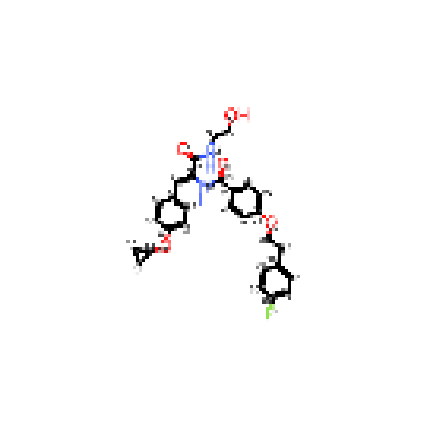 O=C(NCCO)C(=Cc1ccc(OC2CC2)cc1)NC(=O)c1ccc(OCCc2ccc(F)cc2)cc1